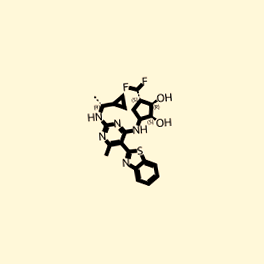 Cc1nc(N[C@H](C)C2CC2)nc(NC2C[C@H](C(F)F)[C@@H](O)[C@H]2O)c1-c1nc2ccccc2s1